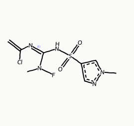 C=C(Cl)/N=C(/NS(=O)(=O)c1cnn(C)c1)N(C)F